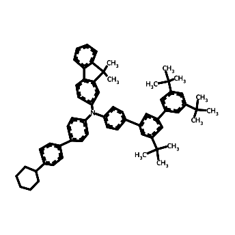 CC(C)(C)c1cc(-c2ccc(N(c3ccc(-c4ccc(C5CCCCC5)cc4)cc3)c3ccc4c(c3)C(C)(C)c3ccccc3-4)cc2)cc(-c2cc(C(C)(C)C)cc(C(C)(C)C)c2)c1